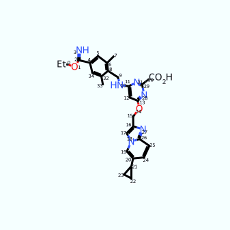 CCOC(=N)c1cc(C)c(CNc2cc(OCc3cn4cc(C5CC5)ccc4n3)nc(C(=O)O)n2)c(C)c1